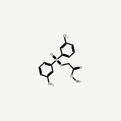 Cc1cccc(S(=O)(=NCC(=O)OC(C)(C)C)c2cccc(C(F)(F)F)c2)c1